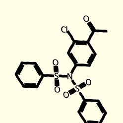 CC(=O)c1ccc(N(S(=O)(=O)c2ccccc2)S(=O)(=O)c2ccccc2)cc1Cl